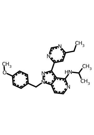 CCc1cc(-c2nn(Cc3ccc(OC)cc3)c3ccnc(NC(C)C)c23)ncn1